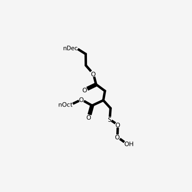 CCCCCCCCCCCCOC(=O)CC(CSOOO)C(=O)OCCCCCCCC